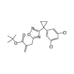 C=C(Cc1nc(C2(c3cc(Cl)cc(Cl)c3)CC2)no1)C(=O)OC(C)(C)C